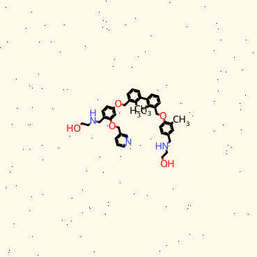 Cc1cc(CNCCO)ccc1OCc1cccc(-c2cccc(COc3ccc(CNCCO)c(OCc4cccnc4)c3)c2C)c1C